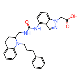 O=C(O)Cn1ncc2c(NC(=O)NCC3CCc4ccccc4N3CCCc3ccccc3)cccc21